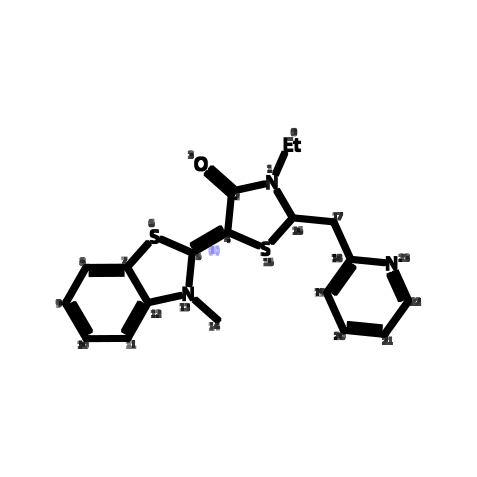 CCN1C(=O)/C(=C2\Sc3ccccc3N2C)SC1Cc1ccccn1